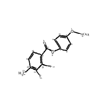 CCCCCCCCOc1ccc(OC(=O)c2ccc(C)c(F)c2F)cc1